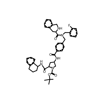 CC(C)(C)OC(=O)N1CC(NC(=O)c2ccc(CN(Cc3ccccc3F)C(=O)C3Cc4ccccc4CN3)cc2)CC1C(=O)NC1CCCc2ccccc21